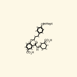 CCCCCCCOc1ccc(CCCOc2ccc(C(=O)O)cc2C(=O)NC2CCCC(C(=O)O)C2)cc1